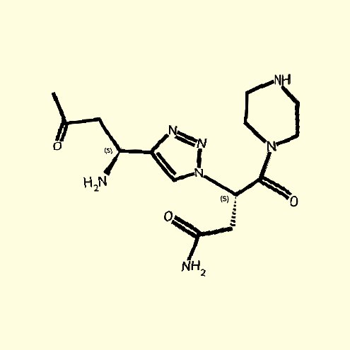 CC(=O)C[C@H](N)c1cn([C@@H](CC(N)=O)C(=O)N2CCNCC2)nn1